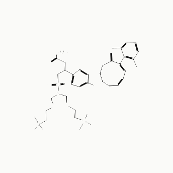 C=C1CC[C@@H](Oc2ccc(C(CC(=O)OC)CS(=O)(=O)N(COCC[Si](C)(C)C)COCC[Si](C)(C)C)cc2)C/C=C\C=C/1c1c(C)cccc1C